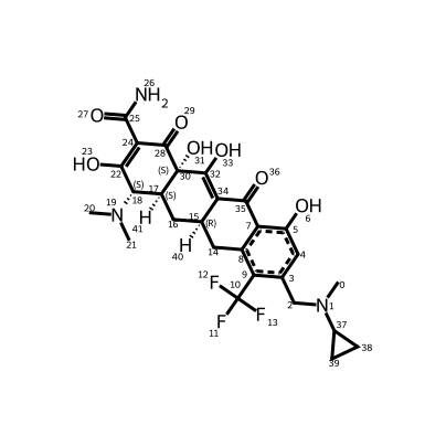 CN(Cc1cc(O)c2c(c1C(F)(F)F)C[C@H]1C[C@H]3[C@H](N(C)C)C(O)=C(C(N)=O)C(=O)[C@@]3(O)C(O)=C1C2=O)C1CC1